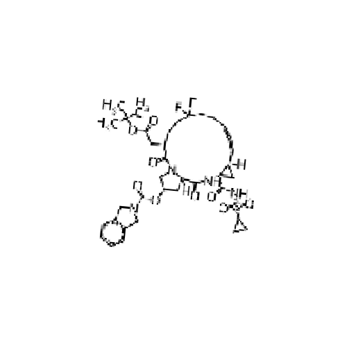 CC(C)(C)OC(=O)C[C@H]1CCC(F)(F)CCC=C=C[C@@H]2C[C@@]2(C(=O)NS(=O)(=O)C2CC2)NC(=O)[C@@H]2C[C@@H](OC(=O)N3Cc4ccccc4C3)CN2C1=O